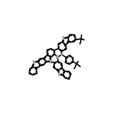 CC(C)(C)c1ccc(N2B3c4cc5c(cc4-n4c6cc7c(cc6c6ccc(c3c64)-c3cc4sc6ccc(C(C)(C)C)cc6c4cc32)sc2ccccc27)sc2ccccc25)cc1